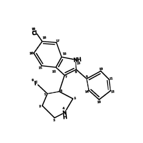 FC1CCNCC1c1c(-c2ccccc2)[nH]c2cc(Cl)ccc12